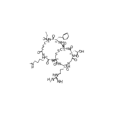 CCC(=O)[C@@H]1CSCC(=O)N[C@@H](CCCCNC)C(=O)N[C@H]2CSSC[C@H](NC(=O)[C@H](CC(=O)O)NC(=O)CNC(=O)[C@H](CCCNC(=N)N)NC2=O)C(=O)N[C@@H](Cc2ccccc2)C(=O)N1